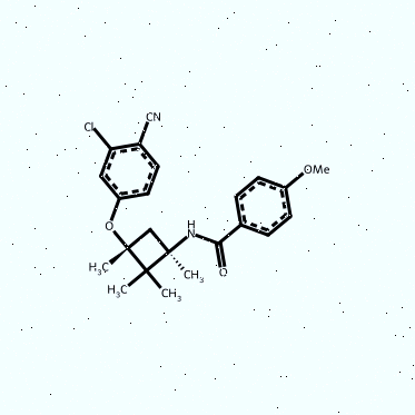 COc1ccc(C(=O)N[C@]2(C)C[C@@](C)(Oc3ccc(C#N)c(Cl)c3)C2(C)C)cc1